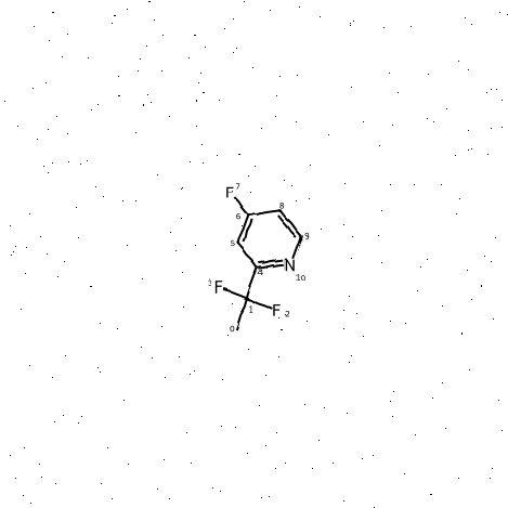 CC(F)(F)c1cc(F)c[c]n1